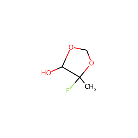 CC1(F)OCOC1O